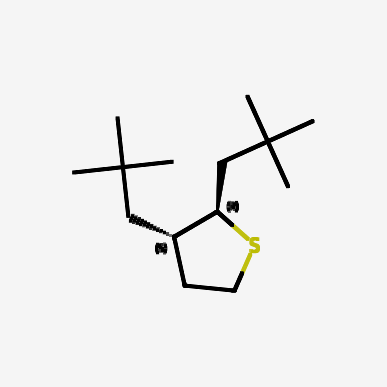 CC(C)(C)C[C@H]1CCS[C@@H]1CC(C)(C)C